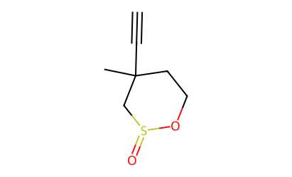 C#CC1(C)CCOS(=O)C1